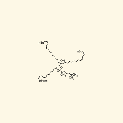 CCCC/C=C\C/C=C\CCCCCCCCC(O)(CCCCCCCC/C=C\C/C=C\CCCC)C(CCCCCCC/C=C\C/C=C\CCCCC)OC(=O)N(C)CCCN(C)C